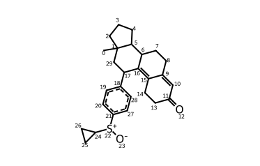 CC12CCCC1C1CCC3=CC(=O)CCC3=C1C(c1ccc([S+]([O-])C3CC3)cc1)C2